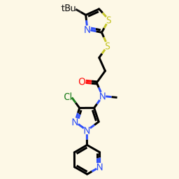 CN(C(=O)CCSc1nc(C(C)(C)C)cs1)c1cn(-c2cccnc2)nc1Cl